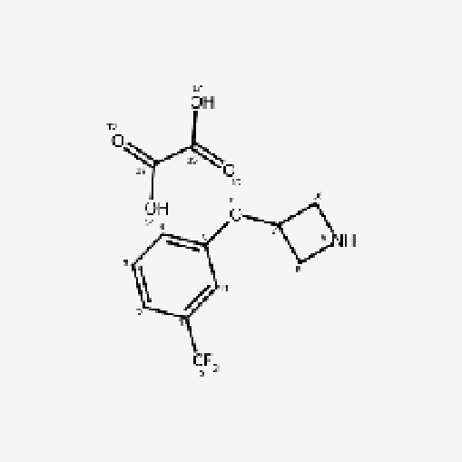 FC(F)(F)c1cccc(OC2CNC2)c1.O=C(O)C(=O)O